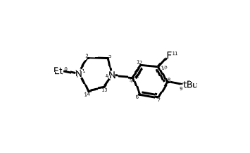 CCN1CCN(c2ccc(C(C)(C)C)c(F)c2)CC1